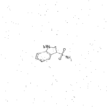 NS(=O)(=O)C1SNc2ccccc21